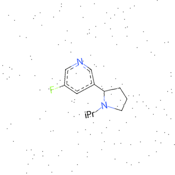 CC(C)N1CCCC1c1cncc(F)c1